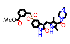 COC(=O)c1cccc(CS(=O)(=O)c2ccc3c(c2)/C(=C/c2[nH]c(C)c(C(=O)N4CCN(C)CC4)c2C)C(=O)N3)c1